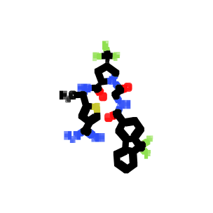 CC(NC(=O)[C@@H]1C[C@H](C(F)(F)F)CN1C(=O)CNC(=O)c1ccc2c(c1)-c1ccccc1C2(F)F)c1cc(C(=N)N)cs1